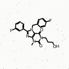 Cn1c(=O)n(CCCO)c(=O)c2c1nc(-c1cccc(F)c1)n2Cc1ccc(F)cc1